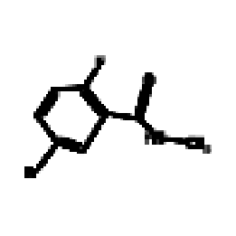 CNC(=O)c1cc(Br)ccc1F